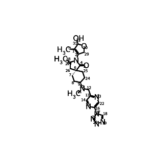 CC1=C(N2C(=O)[C@]3(CC[C@H](N(C)Cc4cnc(-n5cnnn5)cn4)CC3)C[C@H]2C)COC1O